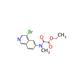 CCOC(=O)C(=O)N(C)c1ccc2cncc(Br)c2c1